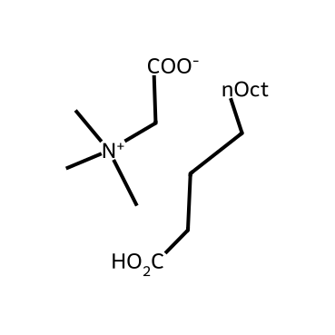 CCCCCCCCCCCC(=O)O.C[N+](C)(C)CC(=O)[O-]